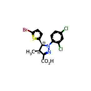 C[C@@H]1C(C(=O)O)=NN(c2ccc(Cl)cc2Cl)[C@@H]1c1ccc(Br)s1